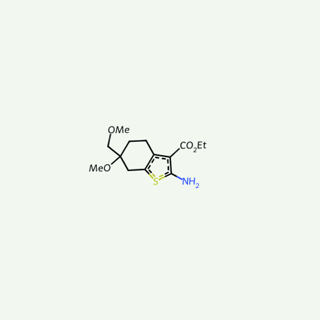 CCOC(=O)c1c(N)sc2c1CCC(COC)(OC)C2